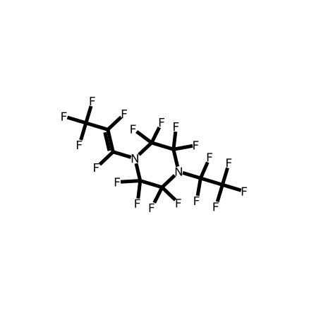 FC(=C(F)C(F)(F)F)N1C(F)(F)C(F)(F)N(C(F)(F)C(F)(F)F)C(F)(F)C1(F)F